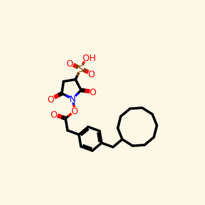 O=C(Cc1ccc(CC2CCCCCCCCC2)cc1)ON1C(=O)CC(S(=O)(=O)O)C1=O